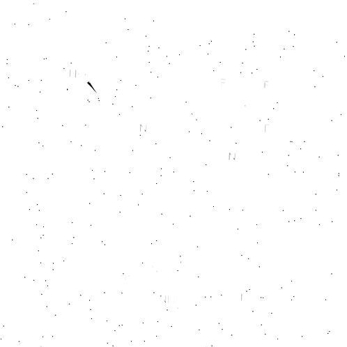 NS(=O)(=O)c1cccc(-c2c(-c3ccc(F)cc3)nc(C(F)(F)F)nc2N2CC[C@@H](O)C2)c1